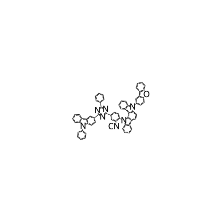 N#Cc1cc(-c2nc(-c3ccccc3)nc(-c3ccc4c(c3)c3ccccc3n4-c3ccccc3)n2)ccc1-n1c2ccccc2c2ccc3c(c4ccccc4n3-c3ccc4oc5ccccc5c4c3)c21